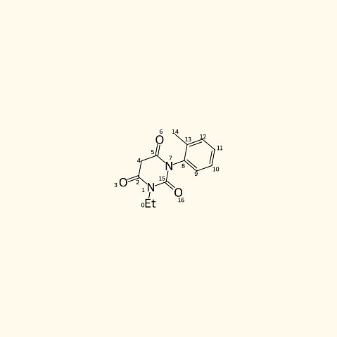 CCN1C(=O)CC(=O)N(c2ccccc2C)C1=O